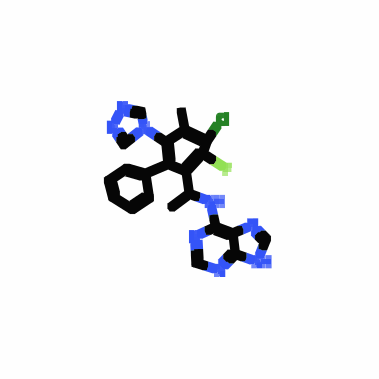 Cc1c(Cl)c(F)c(C(C)Nc2ncnc3[nH]cnc23)c(-c2ccccc2)c1-n1cnnc1